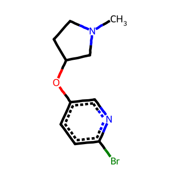 CN1CCC(Oc2ccc(Br)nc2)C1